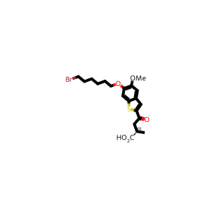 COc1cc2cc(C(=O)C[C@H](C)C(=O)O)sc2cc1OCCCCCCBr